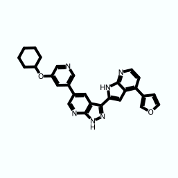 c1cc(-c2ccoc2)c2cc(-c3n[nH]c4ncc(-c5cncc(OC6CCCCC6)c5)cc34)[nH]c2n1